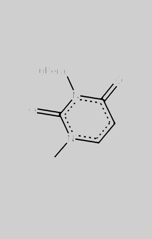 CCCCCn1c(=O)ccn(C)c1=O